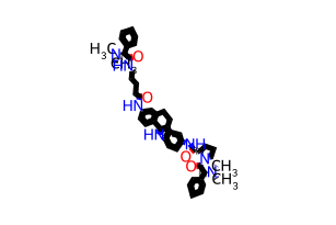 CN(C)[C@@H](C(=O)NCCCCC(=O)Nc1ccc2c(c1)CCc1c-2[nH]c2ccc(NC(=O)[C@@H]3CCCN3C(=O)[C@@H](c3ccccc3)N(C)C)cc12)c1ccccc1